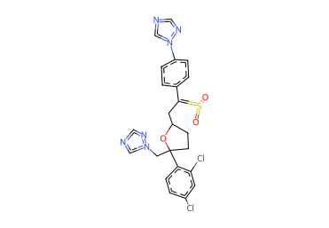 O=S(=O)=C(CC1CCC(Cn2cncn2)(c2ccc(Cl)cc2Cl)O1)c1ccc(-n2cncn2)cc1